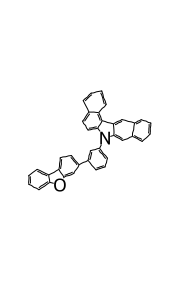 c1cc(-c2ccc3c(c2)oc2ccccc23)cc(-n2c3cc4ccccc4cc3c3c4ccccc4ccc32)c1